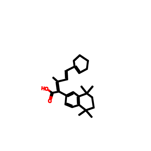 CC(C=CC1=CCCCC1)=C(C(=O)O)c1ccc2c(c1)C(C)(C)CCC2(C)C